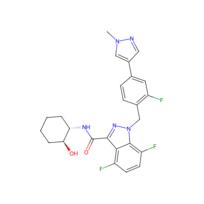 Cn1cc(-c2ccc(Cn3nc(C(=O)N[C@H]4CCCC[C@@H]4O)c4c(F)ccc(F)c43)c(F)c2)cn1